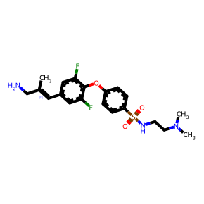 C/C(=C\c1cc(F)c(Oc2ccc(S(=O)(=O)NCCN(C)C)cc2)c(F)c1)CN